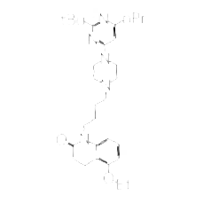 CCCc1cc(N2CCN(CCCCN3C(=O)CCc4c(OCC)cccc43)CC2)nc(C(C)(C)C)n1